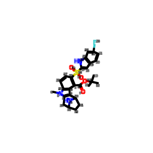 Cn1c2c(c3c(C(=O)OC(C)(C)C)c(S(=O)(=O)c4cc5ccc(F)cc5[nH]4)ccc31)C1CCC(C2)N1